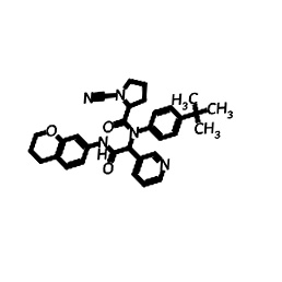 CC(C)(C)c1ccc(N(C(=O)C2CCCN2C#N)C(C(=O)Nc2ccc3c(c2)OCCC3)c2cccnc2)cc1